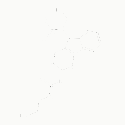 CCCOC(=O)N[C@@H]1CCc2c(c3ccccc3n2C(CC)C(=O)O)C1